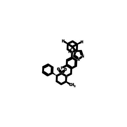 C[C@H]1CC[C@H](c2ccccc2)S(=O)(=O)N1Cc1ccc(N2C[C@H]3C[C@@H](C2)[C@@H]3n2cnnc2)cc1F